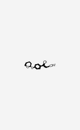 O=C(CO)c1ccc(OC2CCCCO2)cc1